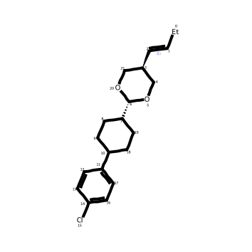 CC/C=C/[C@H]1CO[C@H](C2CCC(c3ccc(Cl)cc3)CC2)OC1